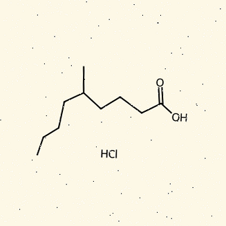 CCCCC(C)CCCC(=O)O.Cl